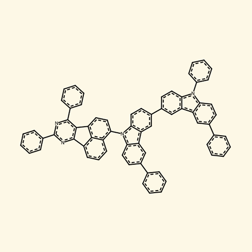 c1ccc(-c2ccc3c(c2)c2cc(-c4ccc5c(c4)c4cc(-c6ccccc6)ccc4n5-c4ccc5c6c(cccc46)-c4nc(-c6ccccc6)nc(-c6ccccc6)c4-5)ccc2n3-c2ccccc2)cc1